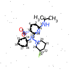 CC(C)Nc1ccc([N+](=O)[O-])c(N(c2ccccc2)N2CCCC(F)C2)n1